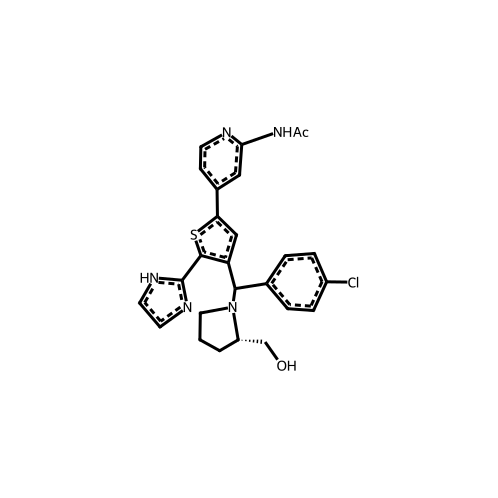 CC(=O)Nc1cc(-c2cc(C(c3ccc(Cl)cc3)N3CCC[C@H]3CO)c(-c3ncc[nH]3)s2)ccn1